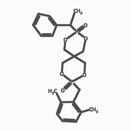 Cc1cccc(C)c1CP1(=O)OCC2(CO1)COP(=O)(C(C)c1ccccc1)OC2